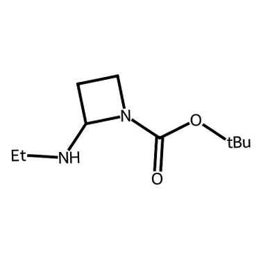 CCNC1CCN1C(=O)OC(C)(C)C